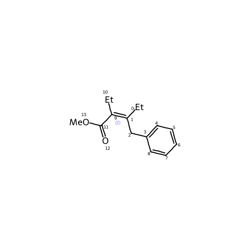 CC/C(Cc1ccccc1)=C(\CC)C(=O)OC